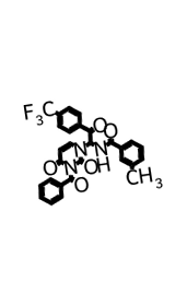 Cc1cccc(C(=O)NC(C(=O)c2ccc(C(F)(F)F)cc2)n2ccc(=O)n(C(=O)c3ccccc3)c2=O)c1